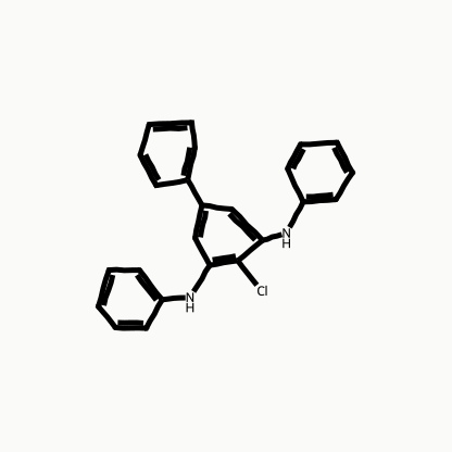 Clc1c(Nc2ccccc2)cc(-c2ccccc2)cc1Nc1ccccc1